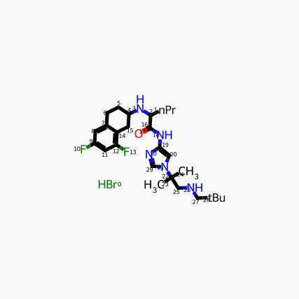 Br.CCCC(NC1CCc2cc(F)cc(F)c2C1)C(=O)Nc1cn(C(C)(C)CNCC(C)(C)C)cn1